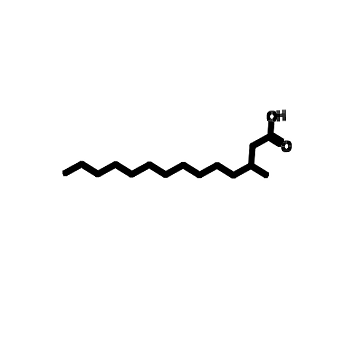 CCCCCCCCCCCC(C)CC(=O)O